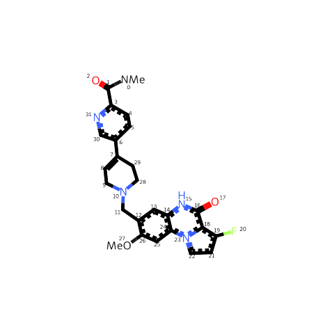 CNC(=O)c1ccc(C2=CCN(Cc3cc4[nH]c(=O)c5c(F)ccn5c4cc3OC)CC2)cn1